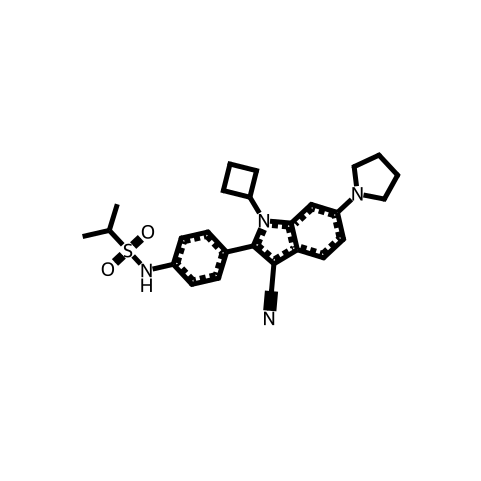 CC(C)S(=O)(=O)Nc1ccc(-c2c(C#N)c3ccc(N4CCCC4)cc3n2C2CCC2)cc1